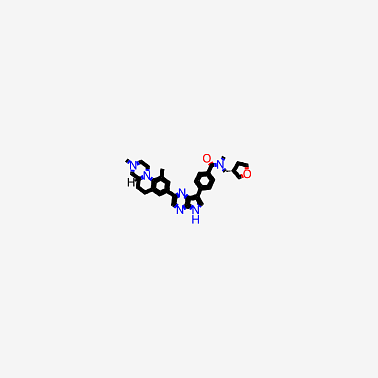 Cc1cc(-c2cnc3[nH]cc(-c4ccc(C(=O)N(C)C[C@@H]5CCOC5)cc4)c3n2)cc2c1N1CCN(C)C[C@H]1CC2